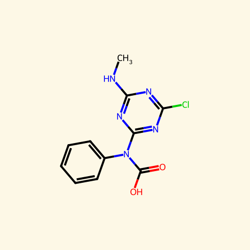 CNc1nc(Cl)nc(N(C(=O)O)c2ccccc2)n1